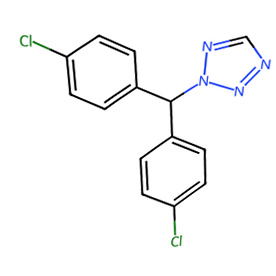 Clc1ccc(C(c2ccc(Cl)cc2)n2ncnn2)cc1